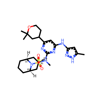 CCS(=O)(=O)N1[C@@H]2CCC[C@H]1C[C@@H](N(C)c1nc(Nc3cc(C)[nH]n3)cc(C3CCOC(C)(C)C3)n1)C2